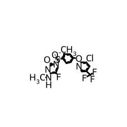 CNc1nc(=O)n([S@+]([O-])c2ccc(Oc3ncc(C(F)(F)F)cc3Cl)cc2C)cc1F